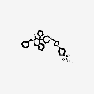 CS(=O)(=O)c1ccc(N2CC(CN3CCC(C4(C5CCCC5)C(=O)N(Cc5ccccc5)Cc5ccccc54)CC3)C2)cc1